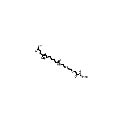 CCCCCCNC(=O)COCCOCCNC(=O)CCCCn1cc(CCC(=O)C(C)C)nn1